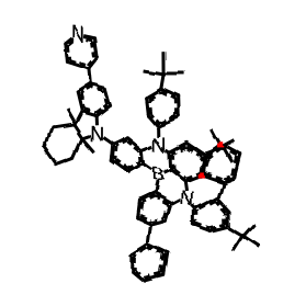 CC(C)(C)c1ccc(N2c3cc(N4c5ccc(-c6ccncc6)cc5C5(C)CCCCC45C)ccc3B3c4ccc(-c5ccccc5)cc4N(c4ccc(C(C)(C)C)cc4-c4ccccc4)c4cc(C(C)(C)C)cc2c43)cc1